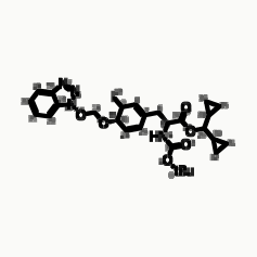 CC(C)(C)OC(=O)N[C@@H](CC1=CC(I)[C@H](OCOn2nnc3ccccc32)C=C1)C(=O)OC(C1CC1)C1CC1